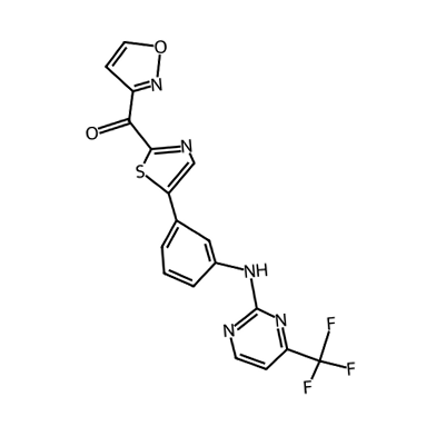 O=C(c1ccon1)c1ncc(-c2cccc(Nc3nccc(C(F)(F)F)n3)c2)s1